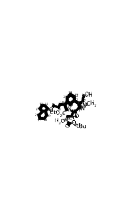 CCOCc1nn(C)c(CO)c1-c1cccc2c(CCCOc3cccc4ccccc34)c(C(=O)OCC)n(CCCN(C)C(=O)OC(C)(C)C)c12